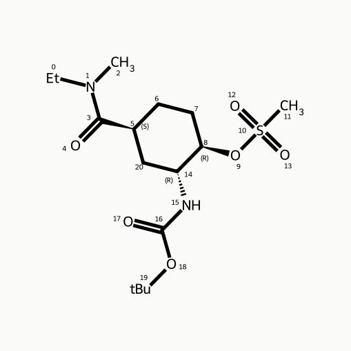 CCN(C)C(=O)[C@H]1CC[C@@H](OS(C)(=O)=O)[C@H](NC(=O)OC(C)(C)C)C1